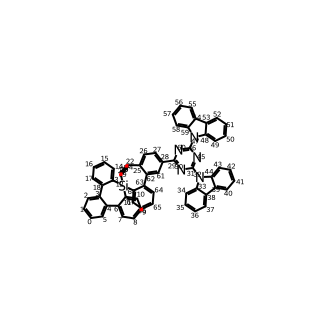 c1ccc2c(c1)-c1ccccc1[Si]1(c3ccccc3-2)c2ccccc2-c2ccc(-c3nc(-n4c5ccccc5c5ccccc54)nc(-n4c5ccccc5c5ccccc54)n3)cc2-c2ccccc21